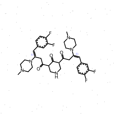 CN1CCN(/C(=C/c2ccc(F)c(F)c2)CC(=O)C2CNCC(C(=O)C/C(=C\c3ccc(F)c(F)c3)N3CCN(C)CC3)C2=O)CC1